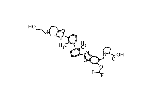 Cc1c(-c2nc3c(o2)CCN(CCCO)C3)cccc1-c1cccc(-c2nc3cc(CN4CCCC4C(=O)O)c(OC(F)F)cc3o2)c1C